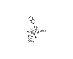 COC(=O)N[C@](C#Cc1ccc2ccccc2n1)(CN1Cc2ccc(OC)cc2C1=O)C(=O)OC